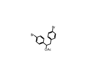 CC(=O)OC(Cc1ccc(Br)cc1)c1ccc(Br)cc1